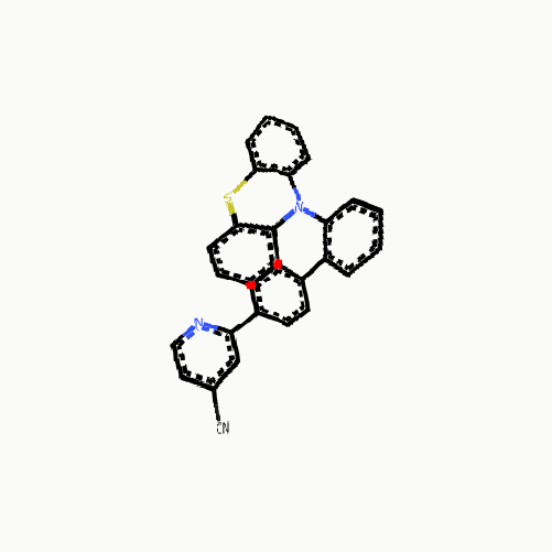 N#Cc1ccnc(-c2ccc(-c3ccccc3N3c4ccccc4Sc4ccccc43)cc2)c1